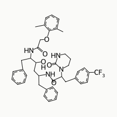 Cc1cccc(C)c1OCC(=O)NC(Cc1ccccc1)C(O)CC(Cc1ccccc1)NC(=O)C(Cc1ccc(C(F)(F)F)cc1)N1CCCNC1=O